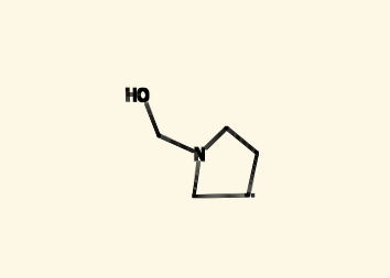 OCN1C[CH]CC1